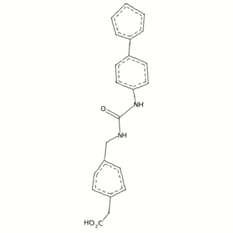 O=C(O)Cc1ccc(CNC(=O)Nc2ccc(-c3ccccc3)cc2)cc1